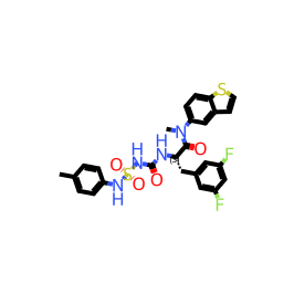 Cc1ccc(NS(=O)(=O)NC(=O)N[C@@H](Cc2cc(F)cc(F)c2)C(=O)N(C)c2ccc3sccc3c2)cc1